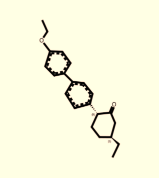 CCOc1ccc(-c2ccc([C@H]3CC[C@H](CC)CC3=O)cc2)cc1